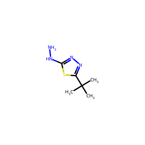 CC(C)(C)c1nnc(NN)s1